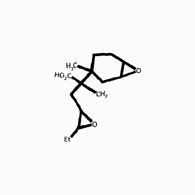 CCC1OC1CC(C)(C(=O)O)C1(C)CCC2OC2C1